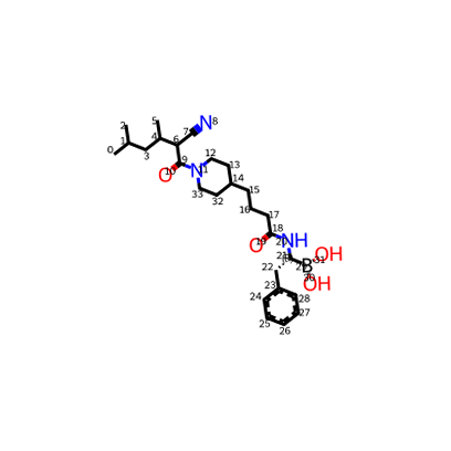 CC(C)CC(C)C(C#N)C(=O)N1CCC(CCCC(=O)N[C@@H](Cc2ccccc2)B(O)O)CC1